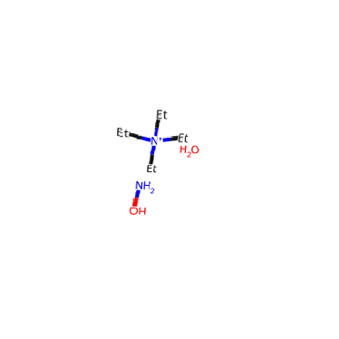 CC[N+](CC)(CC)CC.NO.O